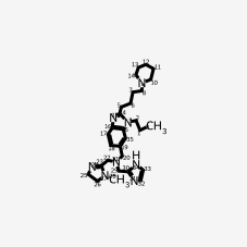 CCCn1c(CCCCN2CCCCC2)nc2ccc(CN(CC3=NCCN3C)Cc3ncc[nH]3)cc21